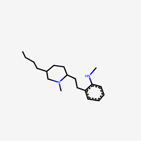 CCCCC1CCC(CCc2ccccc2NC)N(C)C1